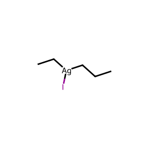 CC[CH2][Ag]([I])[CH2]C